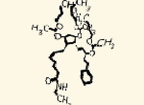 CCCCOC(C)O[C@H](/C=C/[C@@H]1[C@@H](C/C=C\CCCC(=O)NCC)[C@@H](OC(C)OCCCC)C[C@H]1OC(C)OCCCC)CCc1ccccc1